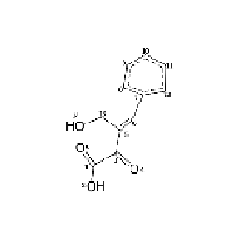 O=C(O)C(=O)/C(=C/c1ccccc1)CO